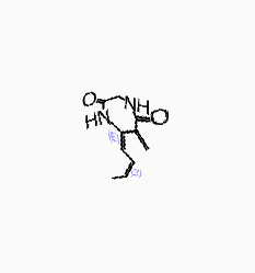 C=C1C(=O)NCC(=O)N/C1=C/C=C\C